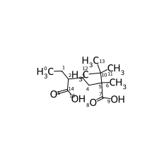 CCC(CCC(C)(C(=O)O)C(C)(C)C)C(=O)O